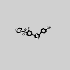 O=S(=O)(c1ccc(-c2cncc(-c3ccc(O)cc3)n2)cc1F)N1CCOCC1